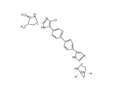 CC1C[C@@H](c2nc(Cl)c(-c3ccc(-c4ccc(-c5cnc([C@@H]6C[C@H]7C[C@H]7N6)[nH]5)cc4)cc3)[nH]2)N[C@@H]1C